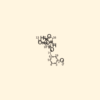 COc1cccc(CO[C@H]2C[C@@H](OC)[C@@H]3OC[C@H]2O3)c1